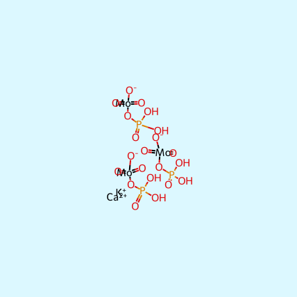 O=P(O)(O)[O][Mo](=[O])(=[O])[O-].O=P(O)(O)[O][Mo](=[O])(=[O])[O-].O=P(O)(O)[O][Mo](=[O])(=[O])[O-].[Ca+2].[K+]